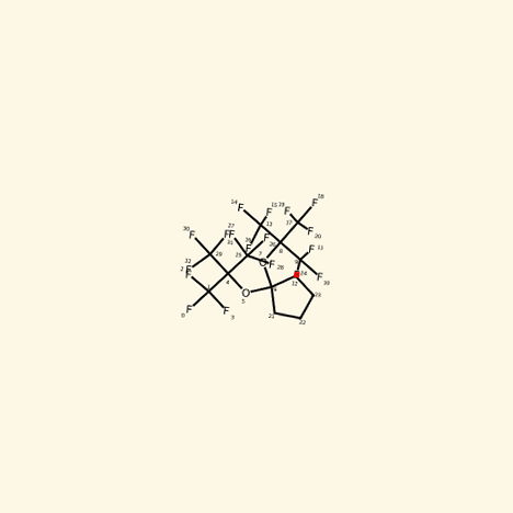 FC(F)(F)C(OC1(OC(C(F)(F)F)(C(F)(F)F)C(F)(F)F)CCCC1)(C(F)(F)F)C(F)(F)F